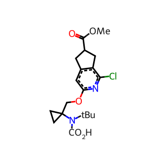 COC(=O)C1Cc2cc(OCC3(N(C(=O)O)C(C)(C)C)CC3)nc(Cl)c2C1